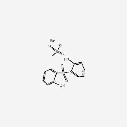 CS(=O)(=O)[O-].O=S(=O)(c1ccccc1O)c1ccccc1O.[Na+]